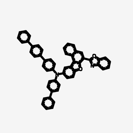 c1ccc(-c2ccc(-c3ccc(N(c4ccc(-c5ccccc5)cc4)c4ccc5oc6c(-c7nc8ccccc8o7)cc7ccccc7c6c5c4)cc3)cc2)cc1